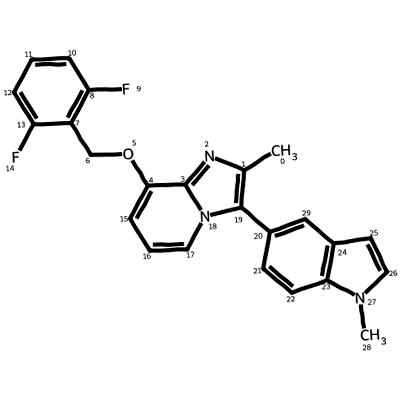 Cc1nc2c(OCc3c(F)cccc3F)cccn2c1-c1ccc2c(ccn2C)c1